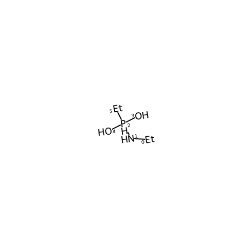 CCN[PH](O)(O)CC